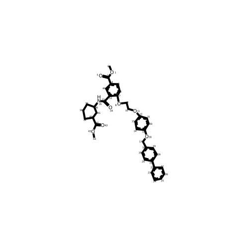 COC(=O)c1ccc(OCCOc2ccc(OCc3ccc(-c4ccccc4)cc3)cc2)c(C(=O)NC2CCCC(C(=O)OC)C2)c1